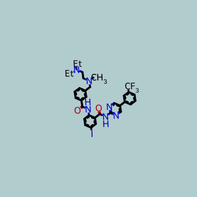 CCN(CC)CCN(C)Cc1cccc(C(=O)Nc2ccc(I)cc2C(=O)Nc2ncc(-c3cccc(C(F)(F)F)c3)cn2)c1